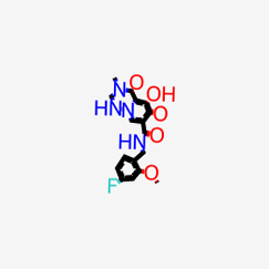 COc1cc(F)ccc1CNC(=O)c1cn2c(c(O)c1=O)C(=O)N(C)CN2